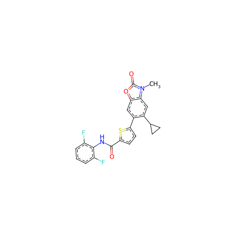 Cn1c(=O)oc2cc(-c3ccc(C(=O)Nc4c(F)cccc4F)s3)c(C3CC3)cc21